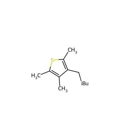 CCC(C)Cc1c(C)sc(C)c1C